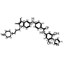 Cc1c(C)n(CCCN2CCN(C)CC2)c2ccc(Nc3ccc(C(=O)Nc4cc(O)c(-n5ccnc5)c(O)c4)cc3)cc12